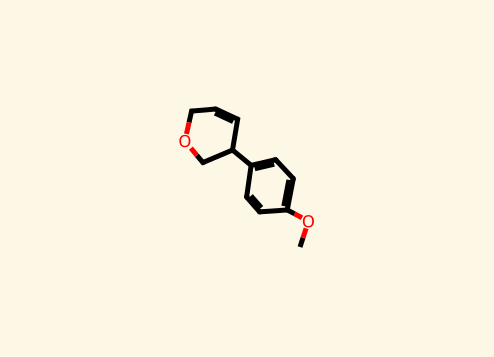 COc1ccc(C2C=CCOC2)cc1